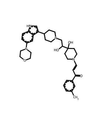 Cc1cccc(C(=O)C=CN2CCC(O)(C(O)CN3CCC(c4c[nH]c5ccc(N6CCOCC6)cc45)CC3)CC2)c1